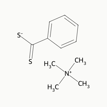 C[N+](C)(C)C.S=C([S-])c1ccccc1